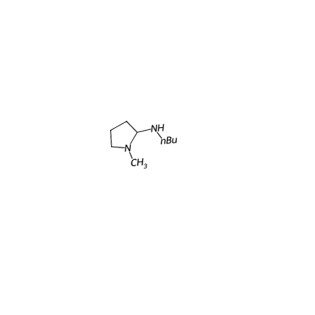 CCCCNC1CCCN1C